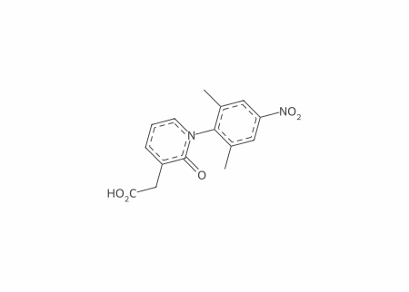 Cc1cc([N+](=O)[O-])cc(C)c1-n1cccc(CC(=O)O)c1=O